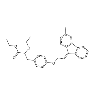 CCOC(=O)C(Cc1ccc(OCC=C2c3ccccc3-c3cc(C)ccc32)cc1)OCC